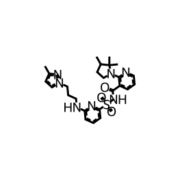 Cc1ccn(CCCNc2cccc(S(=O)(=O)NC(=O)c3cccnc3N3CCC(C)C3(C)C)n2)n1